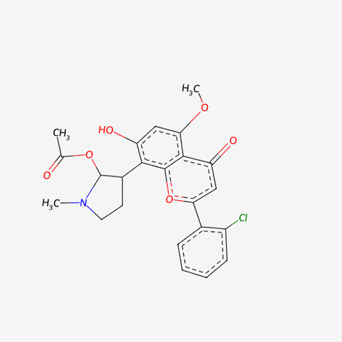 COc1cc(O)c(C2CCN(C)C2OC(C)=O)c2oc(-c3ccccc3Cl)cc(=O)c12